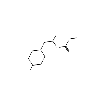 CC(C)(C)OC(=O)NC(CC1CCC(O)CC1)C(=O)O